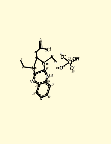 C=C(Cl)CC1N(CC)c2nc3ccccc3nc2N1CC.[O-][Cl+3]([O-])([O-])O